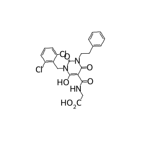 O=C(O)CNC(=O)c1c(O)n(Cc2c(Cl)cccc2Cl)c(=O)n(CCc2ccccc2)c1=O